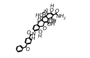 C[C@H]1c2ccc(NC(=O)c3ccc(C(=O)c4ccccc4)cc3)c(O)c2C(=O)C2=C(O)[C@]3(O)C(=O)C(C(N)=O)=C(O)[C@H](N(C)C)[C@@H]3[C@H](O)[C@@H]21